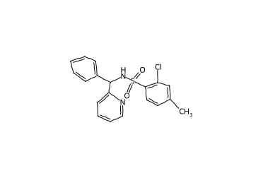 Cc1ccc(S(=O)(=O)NC(c2ccccc2)c2ccccn2)c(Cl)c1